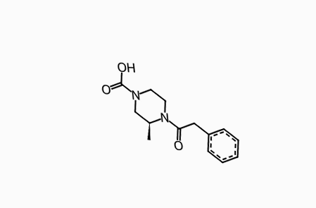 C[C@H]1CN(C(=O)O)CCN1C(=O)Cc1ccccc1